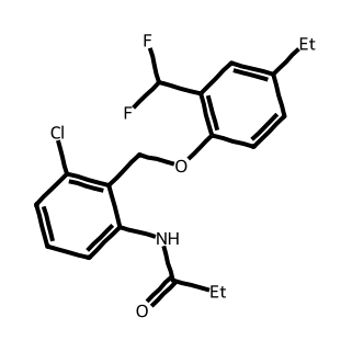 CCC(=O)Nc1cccc(Cl)c1COc1ccc(CC)cc1C(F)F